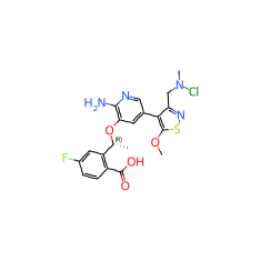 COc1snc(CN(C)Cl)c1-c1cnc(N)c(O[C@H](C)c2cc(F)ccc2C(=O)O)c1